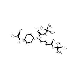 CC(C)(C)OC(=O)NCCN(C(=O)OC(C)(C)C)[C@H]1CC[C@H](CC(=O)O)CC1